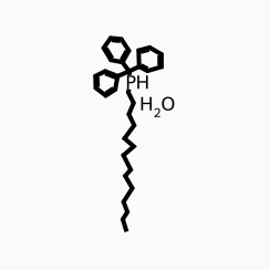 CCCCCCCCCCCCCCPC(c1ccccc1)(c1ccccc1)c1ccccc1.O